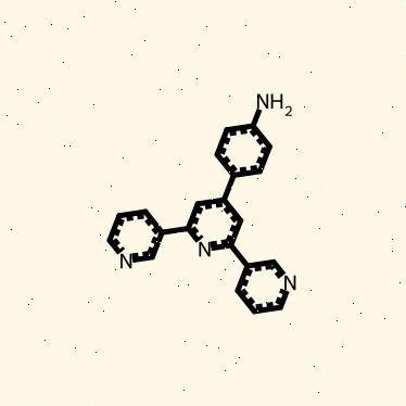 Nc1ccc(-c2cc(-c3cccnc3)nc(-c3cccnc3)c2)cc1